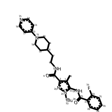 Cc1c(C(=O)NCCC2CCN(c3ccncc3)CC2)nn(C(C)(C)C)c1NC(=O)c1ccccc1F